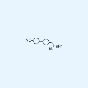 CCCC(CC)CC1CCC(C2CCC(C#N)CC2)CC1